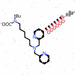 C=O.C=O.C=O.C=O.C=O.C=O.CC(C)(C)N(CCCCCCN(Cc1ccccn1)Cc1ccccn1)C(=O)[O-].[Br-].[Re+].[Re+]